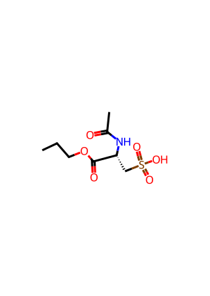 CCCOC(=O)[C@@H](CS(=O)(=O)O)NC(C)=O